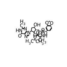 C=C1[C@H](CO[P@](=O)(N[C@@H](C)C(=O)OC(C)C)Oc2ccc3c(c2)OCO3)[C@@H](O)C[C@@H]1n1cnc2c(=O)[nH]c(C)nc21